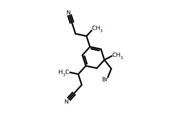 CC(CC#N)C1=CC(C)(CBr)CC(C(C)CC#N)=C1